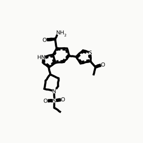 CCS(=O)(=O)N1CCC(c2c[nH]c3c(C(N)=O)cc(-c4csc(C(C)=O)c4)cc23)CC1